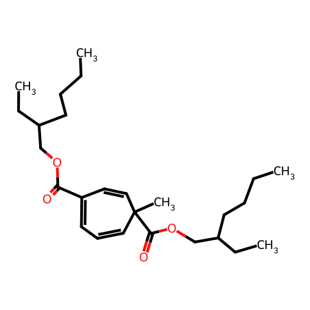 CCCCC(CC)COC(=O)C1=CC=CC(C)(C(=O)OCC(CC)CCCC)C=C1